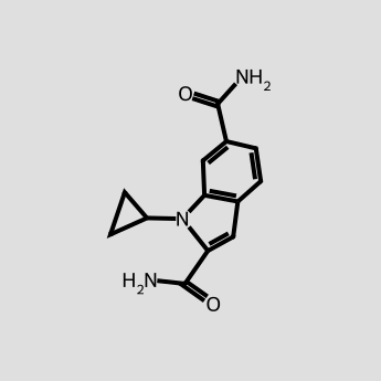 NC(=O)c1ccc2cc(C(N)=O)n(C3CC3)c2c1